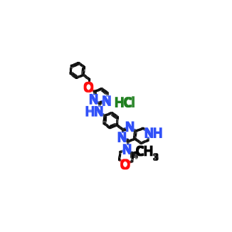 C[C@H]1COCCN1c1nc(-c2ccc(Nc3nccc(OCc4ccccc4)n3)cc2)nc2c1CCNC2.Cl